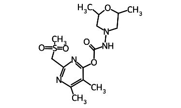 Cc1nc(CS(C)(=O)=O)nc(OC(=O)NN2CC(C)OC(C)C2)c1C